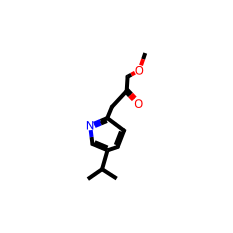 COCC(=O)Cc1ccc(C(C)C)cn1